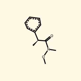 CON(C)C(=O)[C@@H](C)c1ccccc1